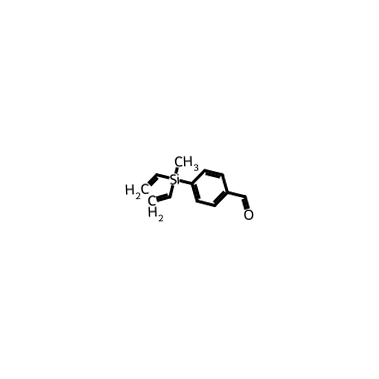 C=C[Si](C)(C=C)c1ccc(C=O)cc1